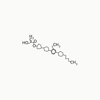 C=C(CO)C(=O)OC1CCC(C2CCC(c3ccc(C4CCC(CCCCC)CC4)cc3CC)CC2)CC1